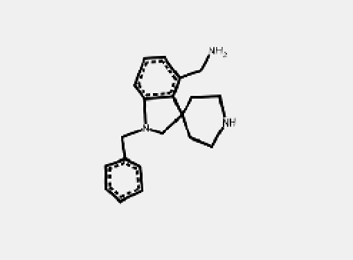 NCc1cccc2c1C1(CCNCC1)CN2Cc1ccccc1